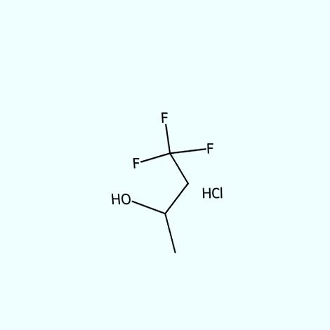 CC(O)CC(F)(F)F.Cl